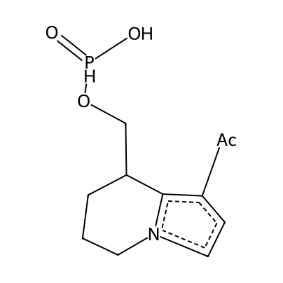 CC(=O)c1ccn2c1C(CO[PH](=O)O)CCC2